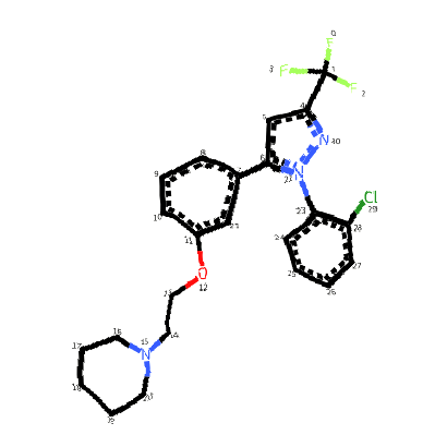 FC(F)(F)c1cc(-c2cccc(OCCN3CCCCC3)c2)n(-c2ccccc2Cl)n1